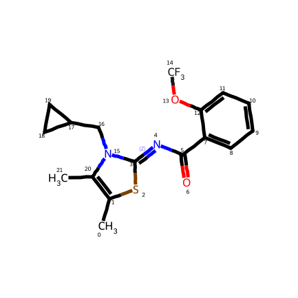 Cc1s/c(=N\C(=O)c2ccccc2OC(F)(F)F)n(CC2CC2)c1C